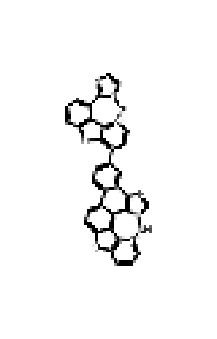 c1cc2oc3c(-c4ccc5c(c4)c4ncn6[nH][n+]7cccc8oc9ccc5c(c9c87)c46)cc[n+]4[nH]n5ccnc5c(c1)c2c34